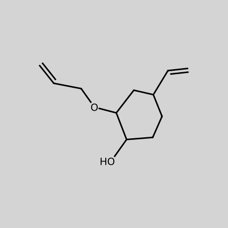 C=CCOC1CC(C=C)CCC1O